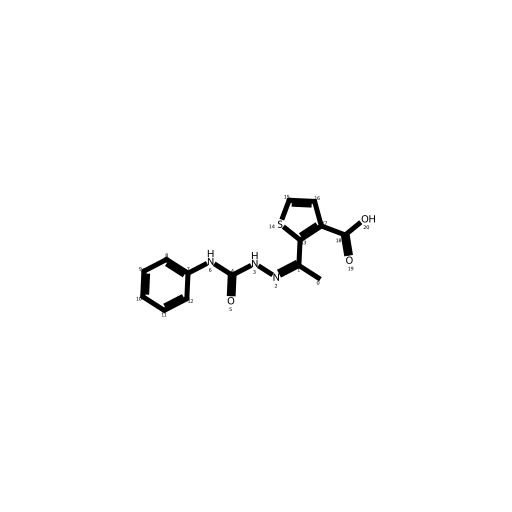 CC(=NNC(=O)Nc1ccccc1)c1sccc1C(=O)O